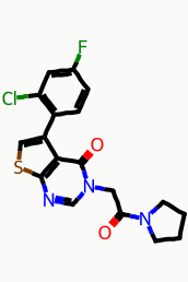 O=C(Cn1cnc2scc(-c3ccc(F)cc3Cl)c2c1=O)N1CCCC1